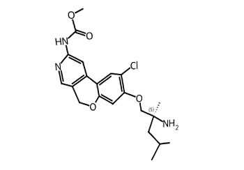 COC(=O)Nc1cc2c(cn1)COc1cc(OC[C@@](C)(N)CC(C)C)c(Cl)cc1-2